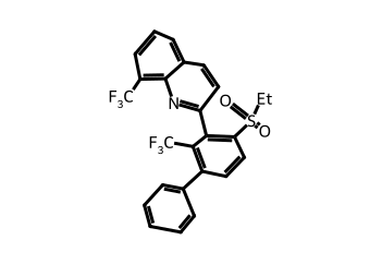 CCS(=O)(=O)c1ccc(-c2ccccc2)c(C(F)(F)F)c1-c1ccc2cccc(C(F)(F)F)c2n1